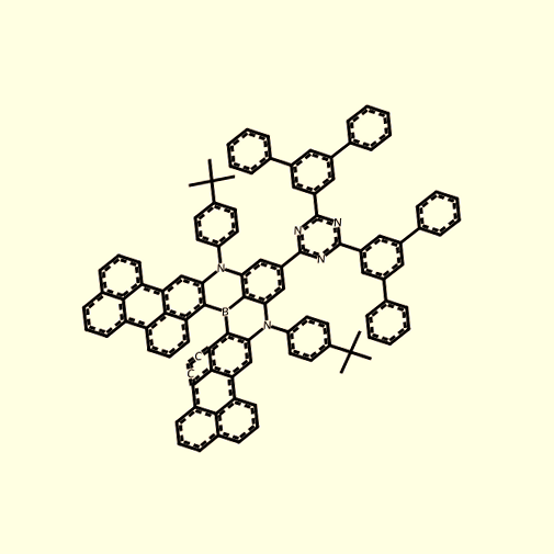 CC(C)(C)c1ccc(N2c3cc(-c4nc(-c5cc(-c6ccccc6)cc(-c6ccccc6)c5)nc(-c5cc(-c6ccccc6)cc(-c6ccccc6)c5)n4)cc4c3B(c3c2cc2c5cccc6cccc(c7cccc3c72)c65)c2c(cc3c5cccc6cccc(c7cccc2c73)c65)N4c2ccc(C(C)(C)C)cc2)cc1